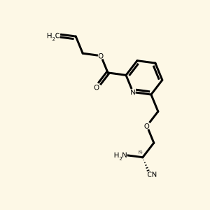 C=CCOC(=O)c1cccc(COC[C@@H](N)C#N)n1